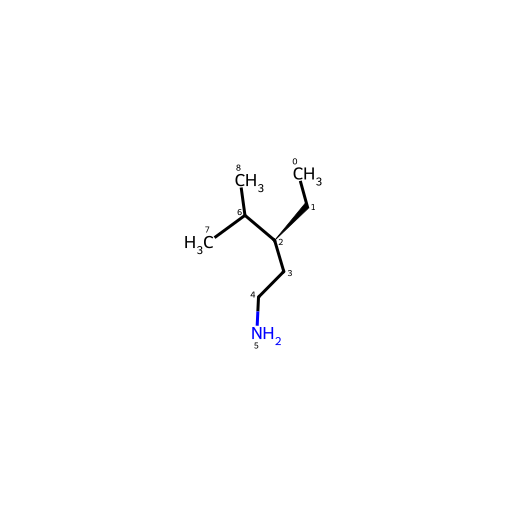 CC[C@@H](CCN)C(C)C